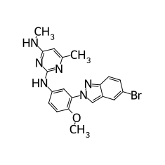 CNc1cc(C)nc(Nc2ccc(OC)c(-n3cc4cc(Br)ccc4n3)c2)n1